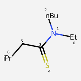 [CH2]CN(CCCC)C(=S)CC(C)C